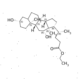 CCOC(=O)CC[C@@H](C)[C@H]1CC[C@H]2[C@@H]3CCC4C[C@@H](O)CC[C@]4(C)[C@H]3C[C@@H](O)[C@]12C